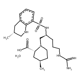 C[C@@H]1CCN(C[C@H](CCCNC(=N)N)NS(=O)(=O)c2cccc3c2NC[C@H](C)C3)[C@@H](C(=O)O)C1.O